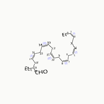 CC/C=C\C/C=C\C/C=C\C/C=C\C/C=C\C/C=C\CC(C=O)CC